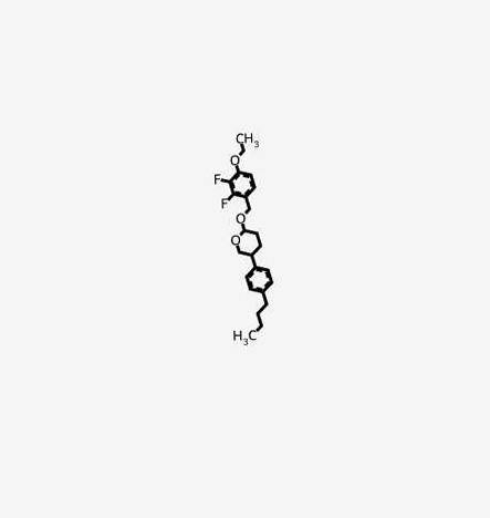 CCCCc1ccc(C2CCC(OCc3ccc(OCC)c(F)c3F)OC2)cc1